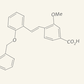 COc1cc(C(=O)O)ccc1C=Cc1ccccc1OCc1ccccc1